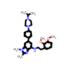 COc1cccc(CCNc2cc(-c3ccc(N4CCN(C(C)C)CC4)cc3)cc3c2nc(C)n3C)c1OC